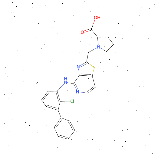 O=C(O)C1CCCN1Cc1nc2c(Nc3cccc(-c4ccccc4)c3Cl)nccc2s1